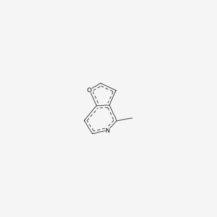 Cc1nccc2occc12